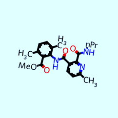 CCCNC(=O)c1nc(C)ccc1C(=O)Nc1c(C)ccc(C)c1C(=O)OC